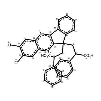 O=C(O)C(CC1(CC(C(=O)O)c2ccccc2)c2ccccc2-c2nc3cc(Cl)c(Cl)cc3nc21)c1ccccc1